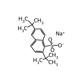 CC(C)(C)c1ccc2c(S(=O)(=O)[O-])c(C(C)(C)C)ccc2c1.[Na+]